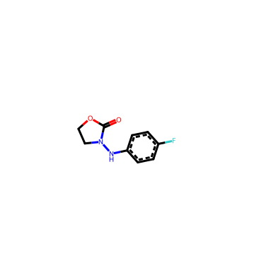 O=C1OCCN1Nc1ccc(F)cc1